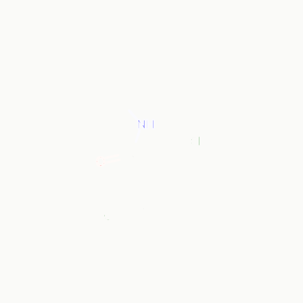 CCNC(=O)c1c(Cl)cccc1Cl